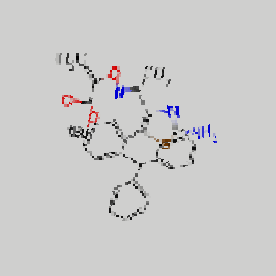 C=C(ON=C(C(=O)O)c1nc(N)sc1-c1ccccc1C(c1ccccc1)c1ccccc1)C(=O)OC(C)(C)C